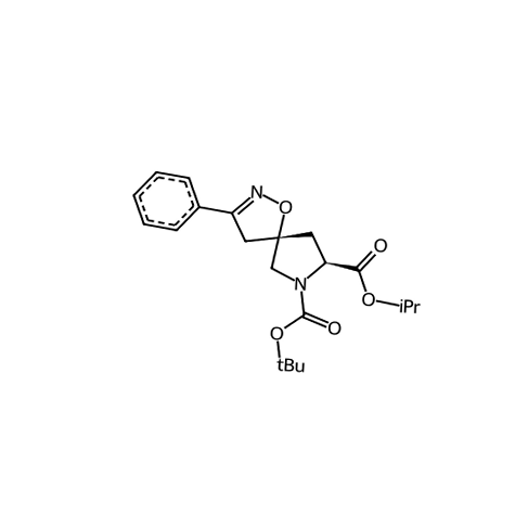 CC(C)OC(=O)[C@@H]1C[C@]2(CC(c3ccccc3)=NO2)CN1C(=O)OC(C)(C)C